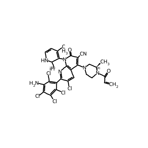 C=CC(=O)N1CCN(c2c(C#N)c(=O)n(C3=C(C)C=CNC3C(C)C)c3nc(-c4c(Cl)c(N)c(Cl)c(Cl)c4Cl)c(Cl)cc23)C[C@H]1C